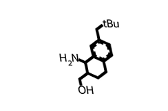 CC(C)(C)Cc1ccc2c(c1)C(N)C(CO)CC2